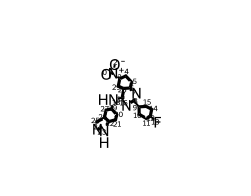 O=[N+]([O-])c1ccc2nc(-c3ccc(F)cc3)nc(Nc3ccc4[nH]ncc4c3)c2c1